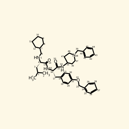 CC(C)C[C@H](NCC1CCCCC1)C(=O)N[C@@H](Cc1ccc(OCc2ccccc2)cc1)C(=O)NC1CCN(Cc2ccccc2)CC1